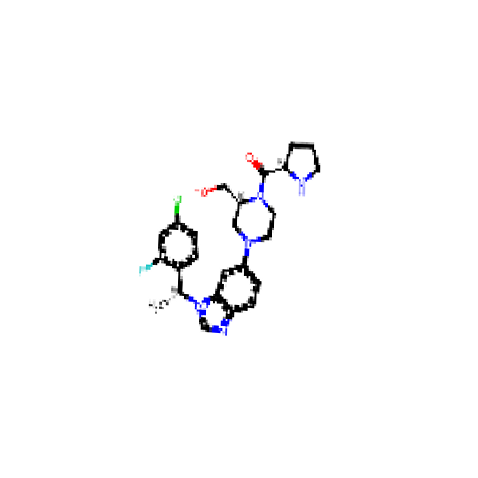 C[C@H](c1ccc(Cl)cc1F)n1cnc2ccc(N3CCN(C(=O)[C@H]4CCCN4)[C@H](CO)C3)cc21